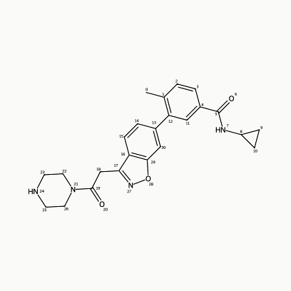 Cc1ccc(C(=O)NC2CC2)cc1-c1ccc2c(CC(=O)N3CCNCC3)noc2c1